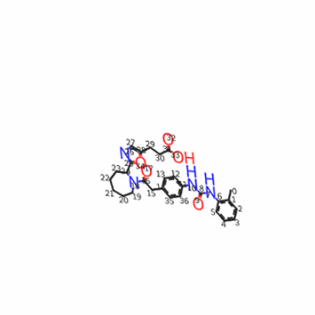 Cc1ccccc1NC(=O)Nc1ccc(CC(=O)N2CCCCCC2c2ncc(CCC(=O)O)o2)cc1